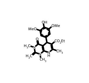 C=C1N(C)C(=O)C2=C(NC(C)=C(C(=O)OCC)C2c2cc(OC)c(O)c(OC)c2)N1C